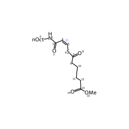 CCCCCCCCNC(=O)/C=C\SC(=O)CCCCC(=O)OC